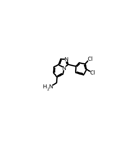 NCc1ccc2cnc(-c3ccc(Cl)c(Cl)c3)n2c1